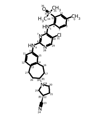 Cc1ccc(Nc2nc(Nc3ccc4c(c3)CC[C@H](N3CC[C@@H](C#N)C3)CC4)ncc2Cl)c(P(C)(C)=O)c1